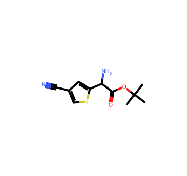 CC(C)(C)OC(=O)C(N)c1cc(C#N)cs1